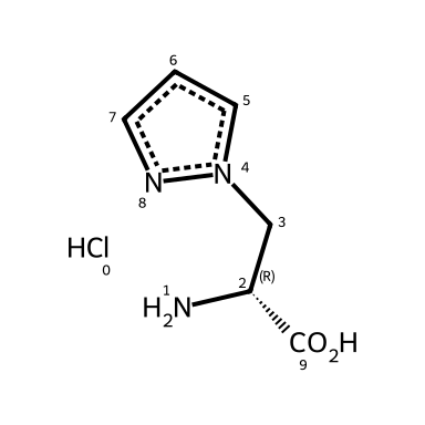 Cl.N[C@H](Cn1cccn1)C(=O)O